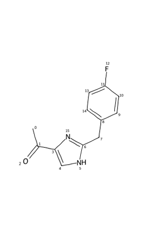 CC(=O)c1c[nH]c(Cc2ccc(F)cc2)n1